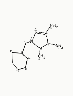 CC1C(N)C(N)=NN1CC1CCCCC1